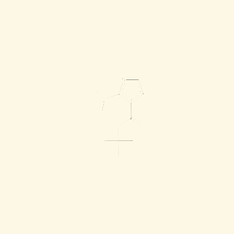 CC(C)(C)OC(=O)c1cc[nH]c1B(O)O